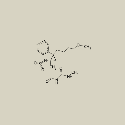 CNC(=O)NC=O.COCCCCC1(c2ccccc2)CC1(C)N=S(=O)=O